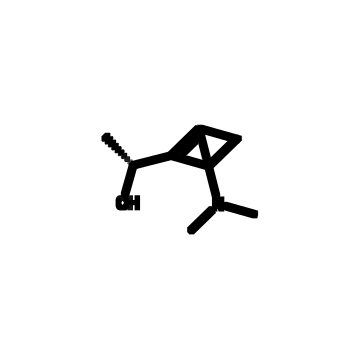 C[C@@H](O)C1=C2CC21N(C)C